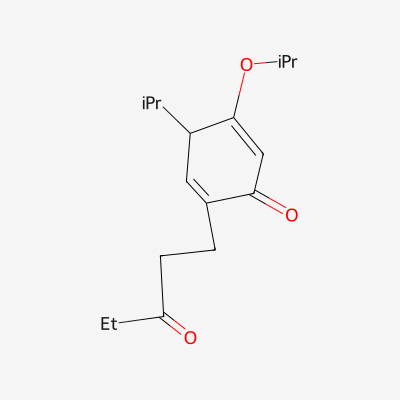 CCC(=O)CCC1=CC(C(C)C)C(OC(C)C)=CC1=O